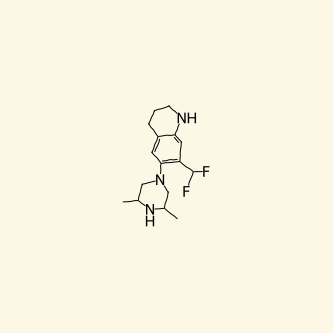 CC1CN(c2cc3c(cc2C(F)F)NCCC3)CC(C)N1